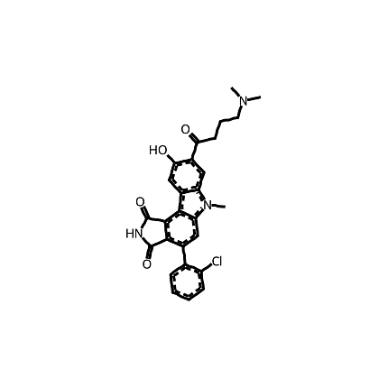 CN(C)CCCC(=O)c1cc2c(cc1O)c1c3c(c(-c4ccccc4Cl)cc1n2C)C(=O)NC3=O